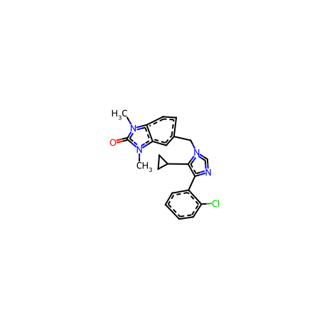 Cn1c(=O)n(C)c2cc(Cn3cnc(-c4ccccc4Cl)c3C3CC3)ccc21